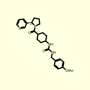 COc1ccc(CNC(=O)NC2CCC(C(=O)N3CCC[C@@H]3c3cccnc3)CC2)cc1